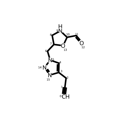 C#CCc1cn(CC2CNC(C=O)O2)nn1